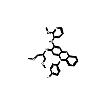 COCC(COC)/N=c1\cc2n(-c3ccc(Cl)cc3)c3ccccc3nc-2cc1Nc1cccnc1OC